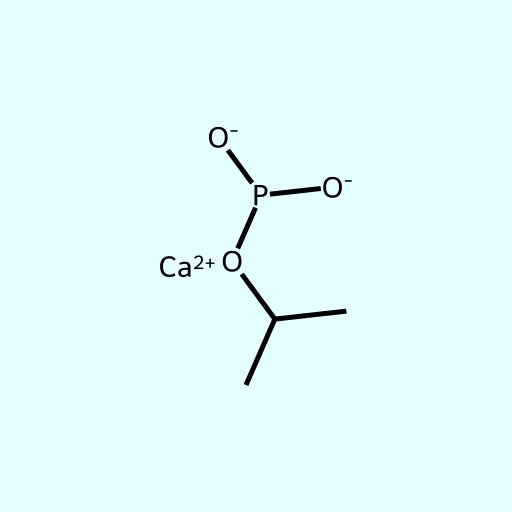 CC(C)OP([O-])[O-].[Ca+2]